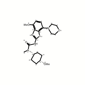 COc1ccc(N2CCOCC2)c2sc(NC(=O)N(C)[C@H]3CC[C@@H](OC)CC3)nc12